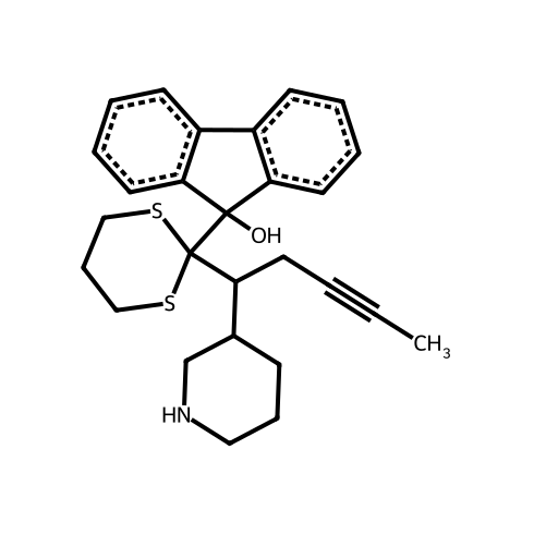 CC#CCC(C1CCCNC1)C1(C2(O)c3ccccc3-c3ccccc32)SCCCS1